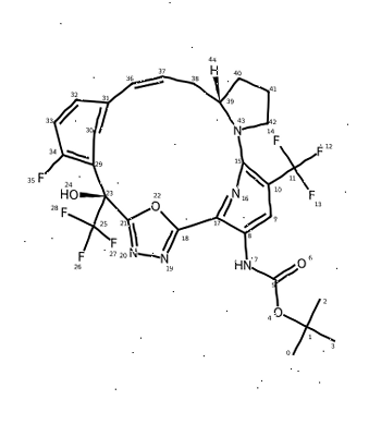 CC(C)(C)OC(=O)Nc1cc(C(F)(F)F)c2nc1-c1nnc(o1)[C@](O)(C(F)(F)F)c1cc(ccc1F)C=CC[C@@H]1CCCN21